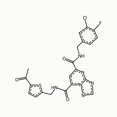 CC(=O)c1ccc(CNC(=O)c2cc(C(=O)NCc3ccc(F)c(Cl)c3)nc3ncnn23)s1